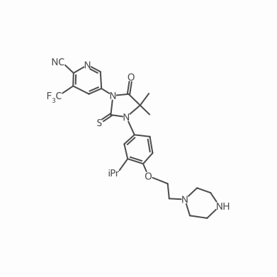 CC(C)c1cc(N2C(=S)N(c3cnc(C#N)c(C(F)(F)F)c3)C(=O)C2(C)C)ccc1OCCN1CCNCC1